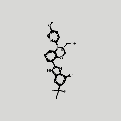 COc1ccc(N2c3cccc(-c4nc5c(Br)cc(C(F)(F)F)cc5[nH]4)c3OC[C@@H]2CO)nc1